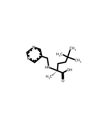 CC(C)(C)CC[C@](C)(NCc1cncnc1)C(=O)O